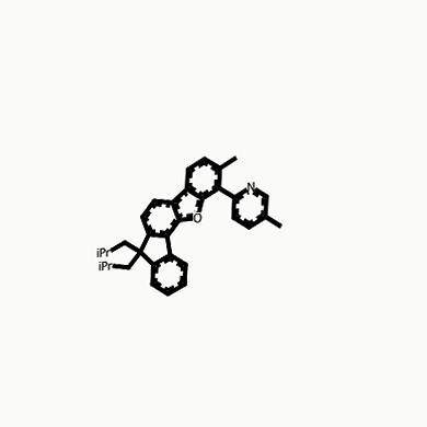 Cc1ccc(-c2c(C)ccc3c2oc2c4c(ccc23)C(CC(C)C)(CC(C)C)c2ccccc2-4)nc1